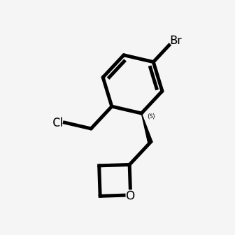 ClCC1C=CC(Br)=C[C@H]1CC1CCO1